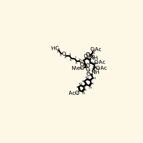 C#CCOCCCCCCO[C@]1(C(=O)OC)C[C@H](OC(C)=O)[C@@H](NC(=O)COC(C)=O)[C@H]([C@H](OC(C)=O)[C@@H](CNC(=O)Cc2ccc(-c3ccc(OC(C)=O)cc3)cc2)OC(C)=O)O1